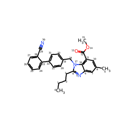 CCCCc1nc2cc(C)cc(C(=O)OC)c2n1Cc1ccc(-c2ccccc2C#N)cc1